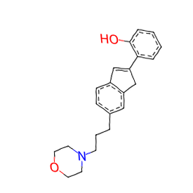 Oc1ccccc1C1=Cc2ccc(CCCN3CCOCC3)cc2C1